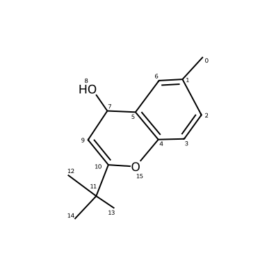 Cc1ccc2c(c1)C(O)C=C(C(C)(C)C)O2